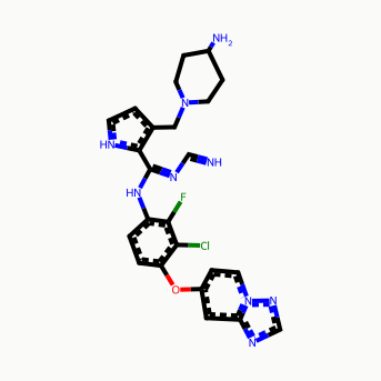 N=C/N=C(/Nc1ccc(Oc2ccn3ncnc3c2)c(Cl)c1F)c1[nH]ccc1CN1CCC(N)CC1